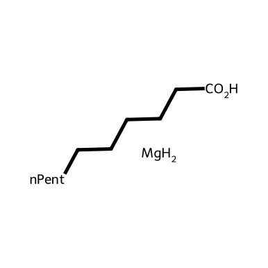 CCCCCCCCCCC(=O)O.[MgH2]